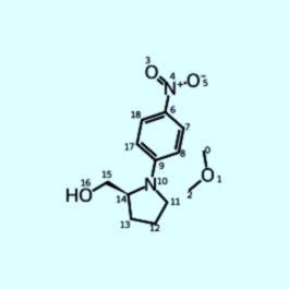 COC.O=[N+]([O-])c1ccc(N2CCC[C@H]2CO)cc1